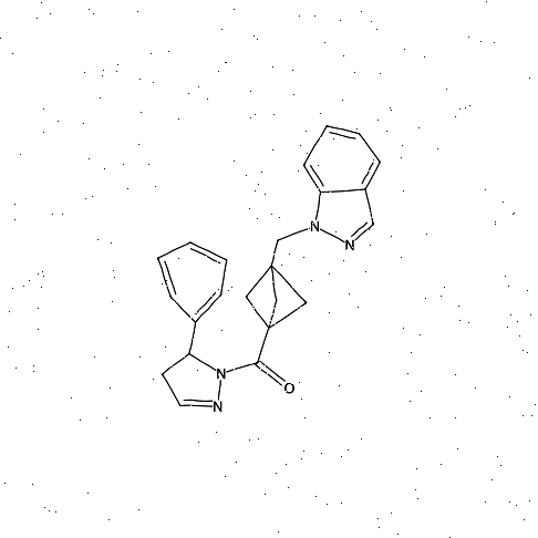 O=C(N1N=CCC1c1ccccc1)C12CC(Cn3ncc4ccccc43)(C1)C2